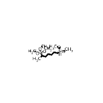 CO[SiH](CCCCCC(C)[Si](OC)(OC)OC)OC